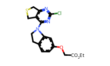 CCOC(=O)COc1ccc2c(c1)N(c1nc(Cl)nc3c1CSC3)CC2